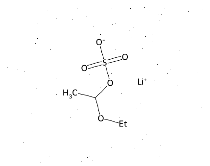 CCOC(C)OS(=O)(=O)[O-].[Li+]